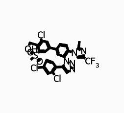 Cc1nc(C(F)(F)F)cn1-c1ccc(-c2cc(Cl)c(CO)c(S(C)(=O)=O)c2)cc1-n1nncc1-c1ccc(Cl)cc1Cl